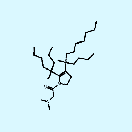 CCCCCCCC(C)(CCCC)C1=C(C(C)(CCC)CCCC)N(C(=O)CN(C)C)CC1